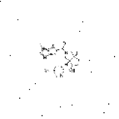 Cn1nnc2cc(C(=O)N3C[C@@H]4CC[C@@H](Nc5ccc(Br)nn5)[C@@H]4C3)sc21